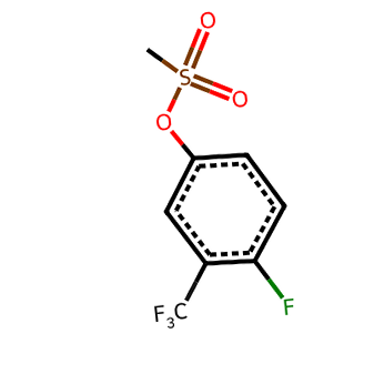 CS(=O)(=O)Oc1ccc(F)c(C(F)(F)F)c1